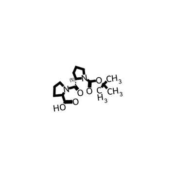 CC(C)(C)OC(=O)N1CCC[C@H]1C(=O)N1CCCC1C(=O)O